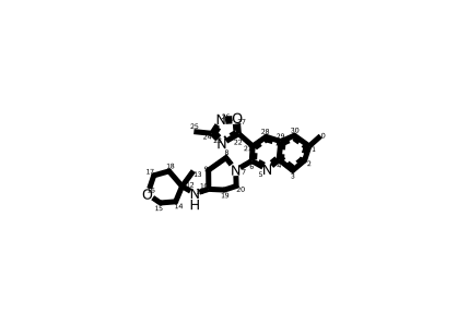 Cc1ccc2nc(N3CCC(NC4(C)CCOCC4)CC3)c(-c3nc(C)no3)cc2c1